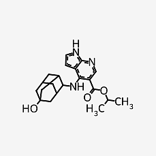 CC(C)OC(=O)c1cnc2[nH]ccc2c1NC1C2CC3CC1CC(O)(C3)C2